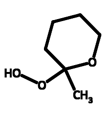 CC1(OO)CCCCO1